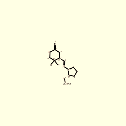 COC[C@H]1CCCN1N=C[C@@H]1CC(=O)CCC1(C)C